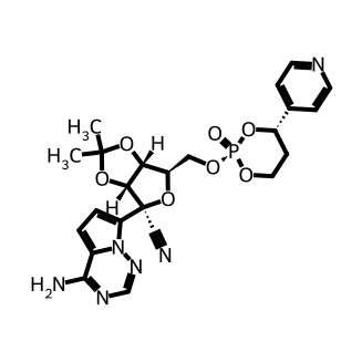 CC1(C)O[C@H]2[C@@H](O1)[C@](C#N)(c1ccc3c(N)ncnn13)O[C@@H]2CO[P@@]1(=O)OCC[C@@H](c2ccncc2)O1